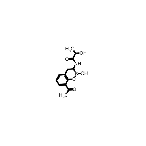 CC(=O)c1cccc2c1OB(O)C(NC(=O)C(C)O)C2